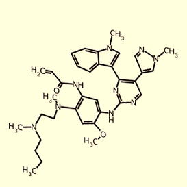 C=CC(=O)Nc1cc(Nc2ncc(-c3cnn(C)c3)c(-c3cn(C)c4ccccc34)n2)c(OC)cc1N(C)CCN(C)CCCC